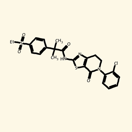 CCS(=O)(=O)c1ccc(C(C)(C)C(=O)Nc2nc3c(s2)C(=O)N(c2ccccc2Cl)CC3)cc1